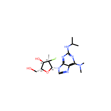 CC(C)Nc1nc(N(C)C)c2ncn([C@@H]3O[C@H](CO)[C@@H](O)[C@@]3(C)F)c2n1